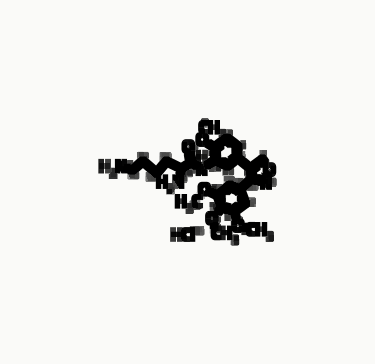 COc1ccc(-c2conc2-c2cc(OC)c(OC)c(OC)c2)cc1NC(=O)C(N)CCCCN.Cl